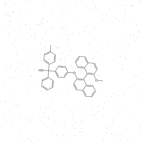 COc1ccc2ccccc2c1-c1c(Oc2ccc(C(O)(c3ccccc3)c3ccc(C)cc3)cc2)ccc2ccccc12